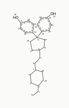 CCC1CCC(CCC2CCC(c3ccc(O)cc3)(c3ccc(O)cc3)CC2)CC1